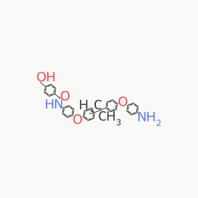 CC(C)(c1ccc(Oc2ccc(N)cc2)cc1)c1ccc(Oc2ccc(NC(=O)c3ccc(CO)cc3)cc2)cc1